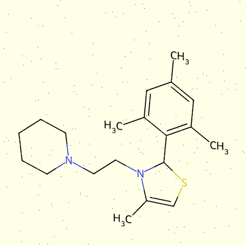 CC1=CSC(c2c(C)cc(C)cc2C)N1CCN1CCCCC1